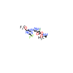 CC1(NC(=O)O[C@H]2CO[C@@H](c3cc(Nc4nc(C(F)F)cn5nc(COC(F)(F)F)cc45)n[nH]3)[C@@H]2F)CC1